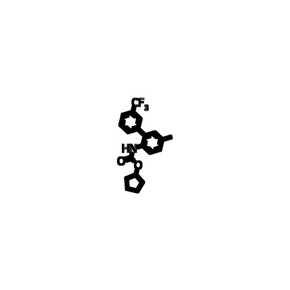 Cc1ccc(NC(=O)OC2CCCC2)c(-c2cccc(C(F)(F)F)c2)c1